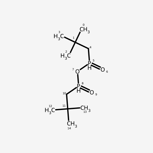 CC(C)(C)C[PH](=O)O[PH](=O)CC(C)(C)C